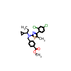 CCC(C1CC1)N(Cc1ccc(C(=O)OC)cc1)c1nc(-c2ccc(Cl)cc2Cl)c(C)s1